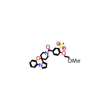 COCCOc1ccc(C(=O)N2CCC3(CC2)Oc2ccccc2-n2cccc23)cc1S(C)(=O)=O